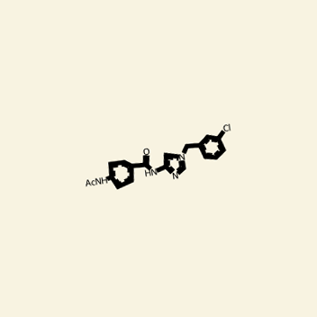 CC(=O)Nc1ccc(C(=O)Nc2cn(Cc3cccc(Cl)c3)cn2)cc1